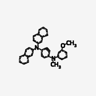 COc1cccc(N(C)c2c#cc(N(c3ccc4ccccc4c3)c3ccc4ccccc4c3)cc2)c1